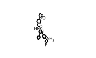 N[C@]1(c2ccc(-c3nnc(NC(=O)CC4CCC(N5CCCC5=O)CC4)cc3-c3ccccc3)cc2)C[C@@H](F)C1